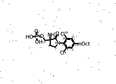 CCCCCCCCc1cc(Cl)c(N2CCC(N)(COP(=O)(O)O)C2=O)c(Cl)c1